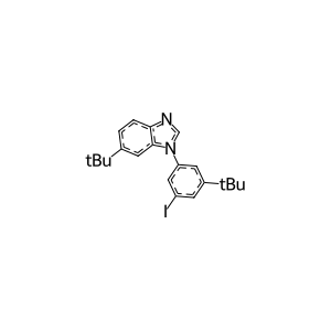 CC(C)(C)c1cc(I)cc(-n2cnc3ccc(C(C)(C)C)cc32)c1